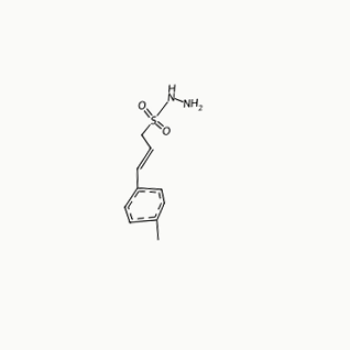 Cc1ccc(C=CCS(=O)(=O)NN)cc1